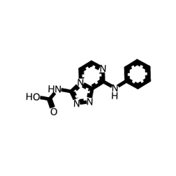 O=C(O)Nc1nnc2c(Nc3ccccc3)nccn12